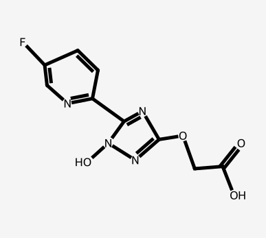 O=C(O)COc1nc(-c2ccc(F)cn2)n(O)n1